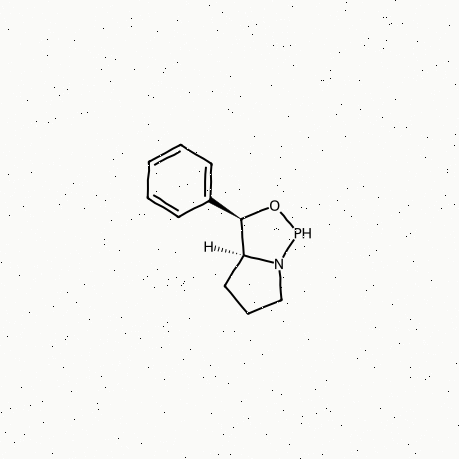 c1ccc([C@H]2OPN3CCC[C@@H]23)cc1